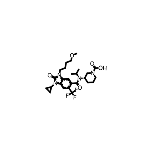 COCCCCn1c(=O)n(C2CC2)c2cc(C(F)(F)F)c(C(=O)N(C(C)C)[C@@H]3CCCN(C(=O)O)C3)cc21